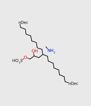 CCCCCCCCCCCCCCCCCCC(CCCCCCCCCCCCCCCCCC)CC(O)COS(=O)(=O)O.CN